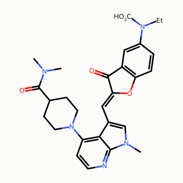 CCN(C(=O)O)c1ccc2c(c1)C(=O)C(=Cc1cn(C)c3nccc(N4CCC(C(=O)N(C)C)CC4)c13)O2